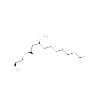 C=CCOC(=O)CC(C)CCCCCCCC